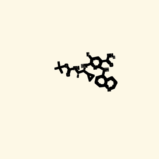 C[C@H](NC(=O)OC(C)(C)C)[C@H](Nc1nc(Nc2cccc3ncccc23)c(C(N)=O)cc1F)C1CC1